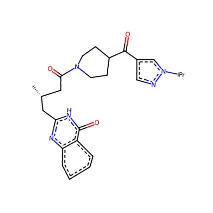 CC(C)n1cc(C(=O)C2CCN(C(=O)C[C@@H](C)Cc3nc4ccccc4c(=O)[nH]3)CC2)cn1